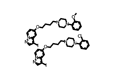 COc1ccccc1N1CCN(CCCCOc2ccn3ncc(I)c3c2)CC1.Clc1ccccc1N1CCN(CCCCOc2ccn3ncc(I)c3c2)CC1